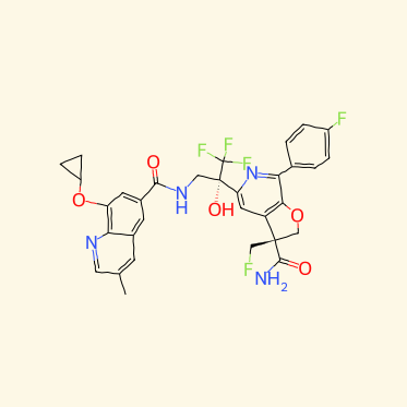 Cc1cnc2c(OC3CC3)cc(C(=O)NC[C@](O)(c3cc4c(c(-c5ccc(F)cc5)n3)OC[C@]4(CF)C(N)=O)C(F)(F)F)cc2c1